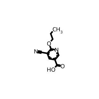 CCCOc1ncc(C(=O)O)cc1C#N